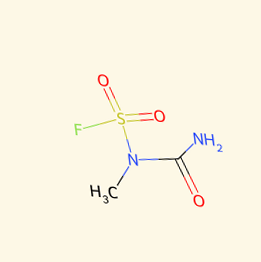 CN(C(N)=O)S(=O)(=O)F